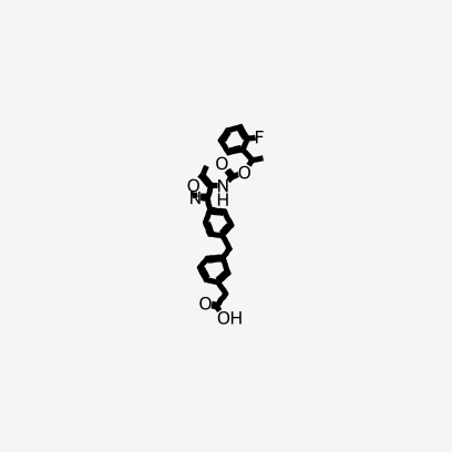 Cc1onc(-c2ccc(Cc3cccc(CC(=O)O)c3)cc2)c1NC(=O)OC(C)c1ccccc1F